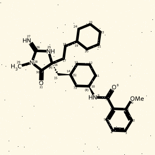 COc1ccccc1C(=O)N[C@@H]1CCC[C@H](C[C@@]2(CCC3CCCCC3)NC(=N)N(C)C2=O)C1